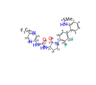 CSNc1ccccc1-c1ccc(N2CC[C@@H](NC(=O)Nc3cnc(C(F)(F)F)cn3)C2=O)c(F)c1F